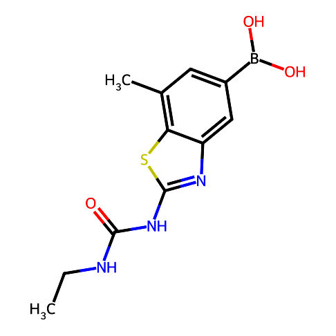 CCNC(=O)Nc1nc2cc(B(O)O)cc(C)c2s1